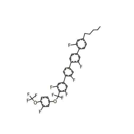 CCCCCc1ccc(-c2ccc(-c3ccc(-c4cc(F)c(C(F)(F)Oc5ccc(OC(F)(F)F)c(F)c5)c(F)c4)c(F)c3)c(F)c2)c(F)c1